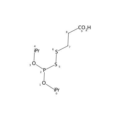 CC(C)OP(OC(C)C)SSCCC(=O)O